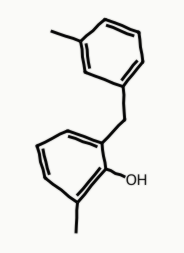 Cc1cccc(Cc2cccc(C)c2O)c1